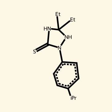 CCC1(CC)NC(=S)N(c2ccc(C(C)C)cc2)N1